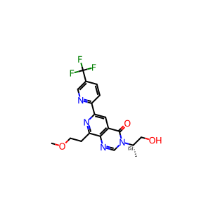 COCCc1nc(-c2ccc(C(F)(F)F)cn2)cc2c(=O)n([C@@H](C)CO)cnc12